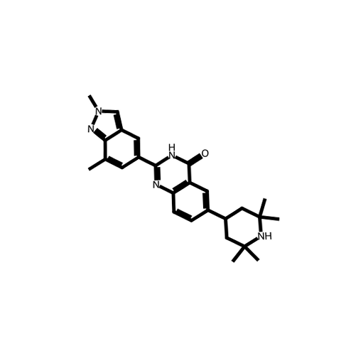 Cc1cc(-c2nc3ccc(C4CC(C)(C)NC(C)(C)C4)cc3c(=O)[nH]2)cc2cn(C)nc12